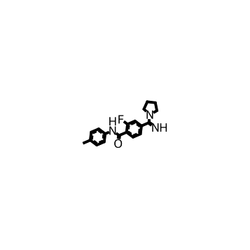 Cc1ccc(NC(=O)c2ccc(C(=N)N3CCCC3)cc2F)cc1